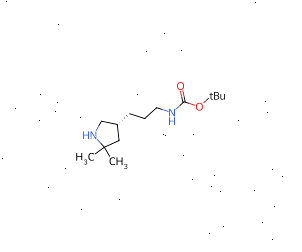 CC1(C)C[C@@H](CCCNC(=O)OC(C)(C)C)CN1